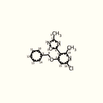 Cc1noc(-c2c(OCc3ccccc3)cc(Cl)nc2C)n1